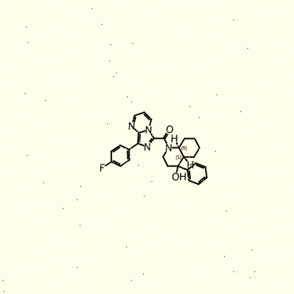 O=C(c1nc(-c2ccc(F)cc2)c2ncccn12)N1CCC(O)(c2ccccc2)[C@H]2CCCC[C@H]21